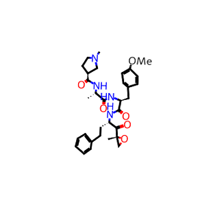 COc1ccc(C[C@H](NC(=O)[C@H](C)NC(=O)[C@H]2CCN(C)C2)C(=O)N[C@@H](CCc2ccccc2)C(=O)[C@@]2(C)CO2)cc1